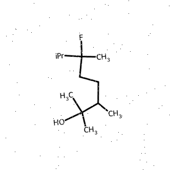 CC(CCC(C)(F)C(C)C)C(C)(C)O